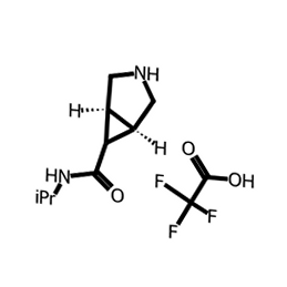 CC(C)NC(=O)C1[C@H]2CNC[C@@H]12.O=C(O)C(F)(F)F